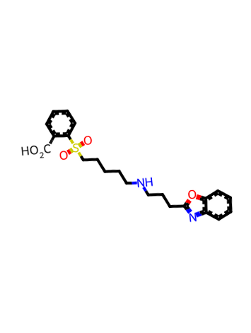 O=C(O)c1ccccc1S(=O)(=O)CCCCCNCCCc1nc2ccccc2o1